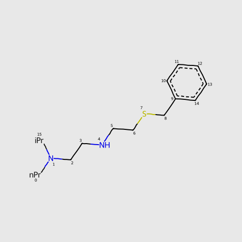 CCCN(CCNCCSCc1ccccc1)C(C)C